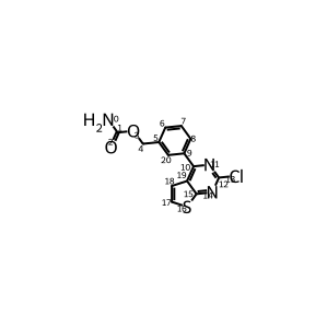 NC(=O)OCc1cccc(-c2nc(Cl)nc3sccc23)c1